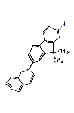 CC1(C)c2cc(I)ccc2-c2ccc(-c3ccc4ccccc4c3)cc21